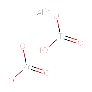 [Al+3].[O]=[Ti]([O-])[OH].[O]=[Zr]([O-])[O-]